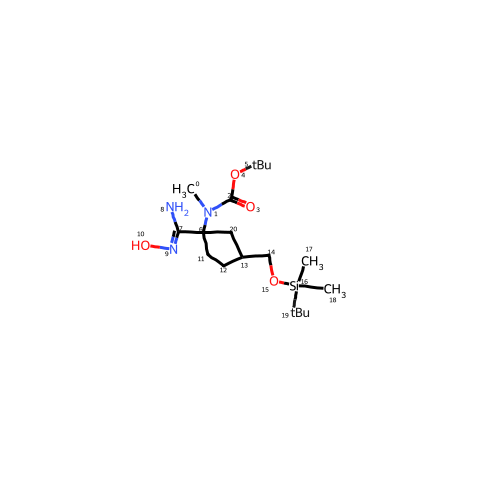 CN(C(=O)OC(C)(C)C)C1(/C(N)=N/O)CCC(CO[Si](C)(C)C(C)(C)C)C1